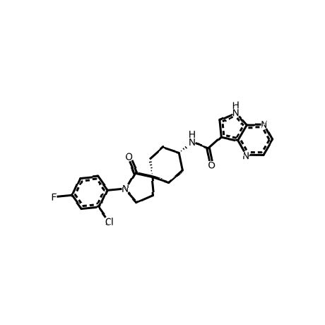 O=C(N[C@H]1CC[C@@]2(CCN(c3ccc(F)cc3Cl)C2=O)CC1)c1c[nH]c2nccnc12